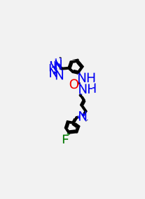 CN(C/C=C/CNC(=O)Nc1cccc(-c2nnnn2C)c1)Cc1ccc(F)cc1